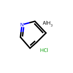 Cl.[AlH3].c1ccncc1